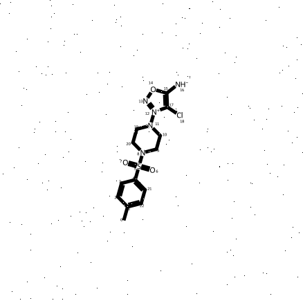 Cc1ccc(S(=O)(=O)N2CCN([n+]3noc([NH-])c3Cl)CC2)cc1